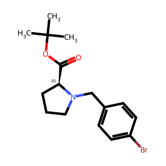 CC(C)(C)OC(=O)[C@@H]1CCCN1Cc1ccc(Br)cc1